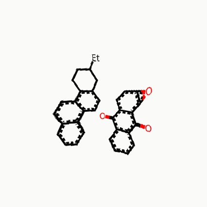 CCC1CCc2c(ccc3c2ccc2ccccc23)C1.O=c1c2ccccc2c(=O)c2c1ccc1oc12